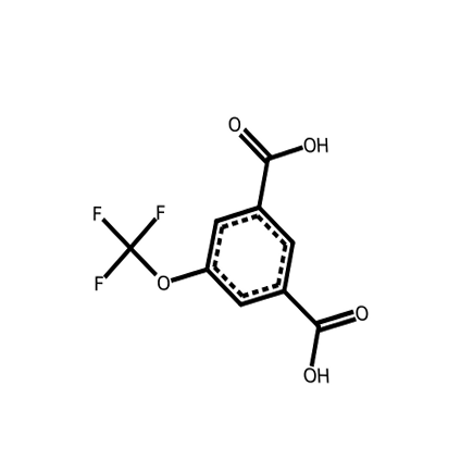 O=C(O)c1cc(OC(F)(F)F)cc(C(=O)O)c1